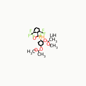 COC(C)Oc1ccc(PC(=O)c2c(C(F)(F)F)cccc2C(F)(F)F)c(OC(C)OC)c1.[LiH]